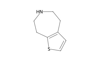 c1cc2c(s1)CCNCC2